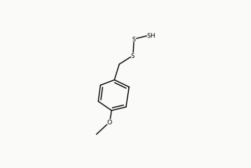 COc1ccc(CSSS)cc1